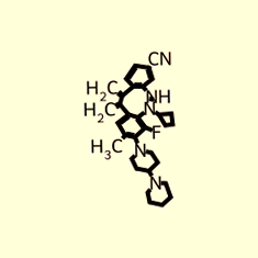 C=c1c(=C)c2cc(C)c(N3CCC(N4CCCCC4)CC3)c(F)c2n(C2CCC2)[nH]c2cc(C#N)ccc12